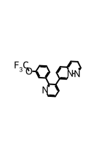 FC(F)(F)Oc1cccc(-c2ncccc2C2=CN3N=CCC=C3C=C2)c1